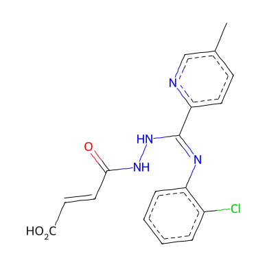 Cc1ccc(/C(=N/c2ccccc2Cl)NNC(=O)/C=C/C(=O)O)nc1